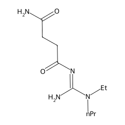 CCCN(CC)/C(N)=N/C(=O)CCC(N)=O